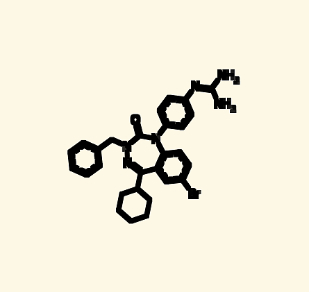 NC(N)=Nc1ccc(N2C(=O)N(Cc3ccccc3)N=C(C3CCCCC3)c3cc(Br)ccc32)cc1